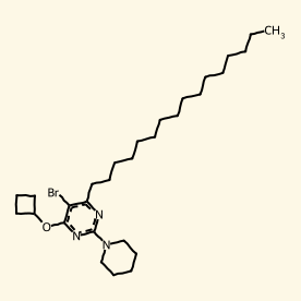 CCCCCCCCCCCCCCCCc1nc(N2CCCCC2)nc(OC2CCC2)c1Br